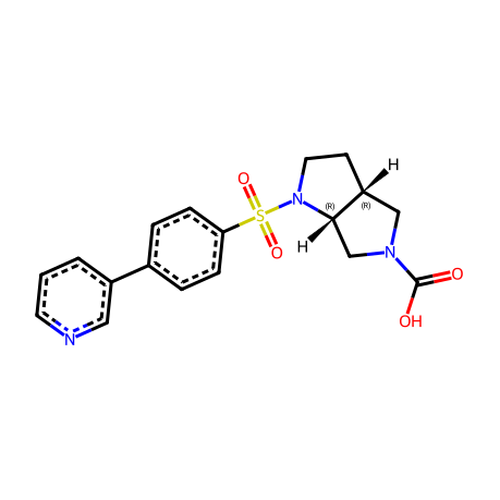 O=C(O)N1C[C@H]2CCN(S(=O)(=O)c3ccc(-c4cccnc4)cc3)[C@H]2C1